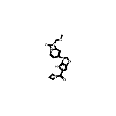 COCN1C(=O)N2C=CC(N3COc4cc(C(=O)N5CCC5)[nH]c43)=CC21